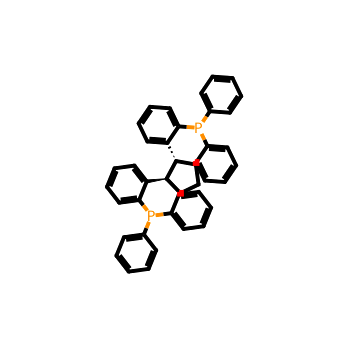 c1ccc(P(c2ccccc2)c2ccccc2[C@@H]2CCC[C@H]2c2ccccc2P(c2ccccc2)c2ccccc2)cc1